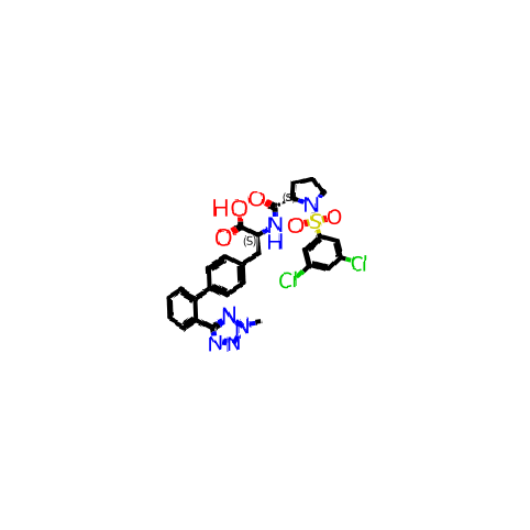 Cn1nnc(-c2ccccc2-c2ccc(C[C@H](NC(=O)[C@@H]3CCCN3S(=O)(=O)c3cc(Cl)cc(Cl)c3)C(=O)O)cc2)n1